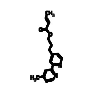 CC=CC(=O)OCCCc1ccnc(-c2cc(C)ccn2)c1